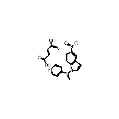 CN(c1ccncc1)n1ccc2cc([N+](=O)[O-])ccc21.O=C(O)C=CC(=O)O